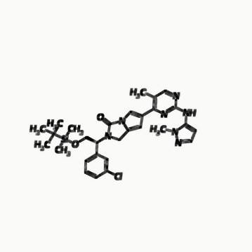 Cc1cnc(Nc2ccnn2C)nc1-c1cc2n(c1)C(=O)N([C@H](CO[Si](C)(C)C(C)(C)C)c1cccc(Cl)c1)C2